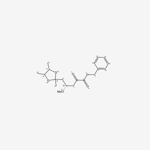 CO[C@@H](CC(=O)C(=O)OCc1ccccc1)CC1(C)OC(C)C(C)O1